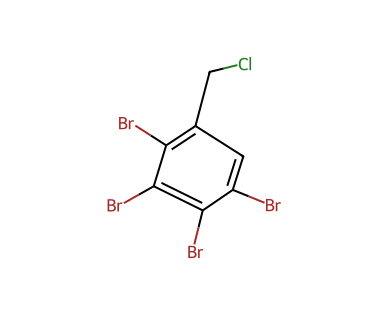 ClCc1cc(Br)c(Br)c(Br)c1Br